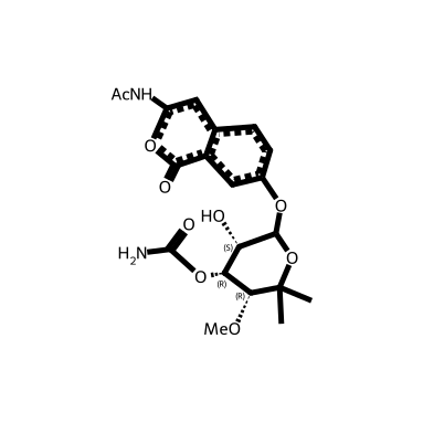 CO[C@@H]1[C@H](OC(N)=O)[C@H](O)C(Oc2ccc3cc(NC(C)=O)oc(=O)c3c2)OC1(C)C